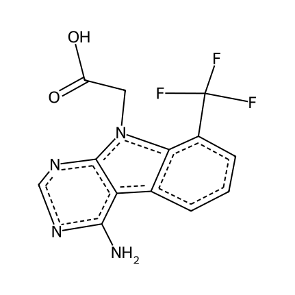 Nc1ncnc2c1c1cccc(C(F)(F)F)c1n2CC(=O)O